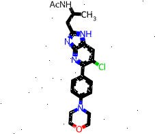 CC(=O)NC(C)Cc1nc2nc(-c3ccc(N4CCOCC4)cc3)c(Cl)cc2[nH]1